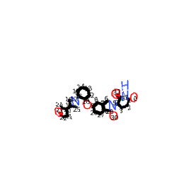 O=C1CCC(N2Cc3cc(O[C@@H]4CCCC[C@H]4N4CC(C5CCOC5)C4)ccc3C2=O)C(=O)N1